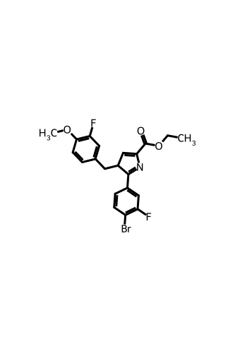 CCOC(=O)C1=CC(Cc2ccc(OC)c(F)c2)C(c2ccc(Br)c(F)c2)=N1